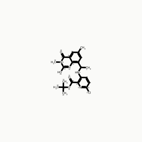 Cc1cc(C(C)Nc2ccc(Cl)nc2C(=O)OC(C)(C)C)c2nc(O)n(C)c(=O)c2c1